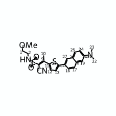 COCCNS(=O)(=O)/C(C#N)=C(\C)c1ccc(-c2ccc3cc(N(C)C)ccc3c2)s1